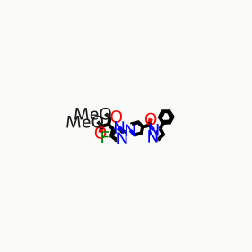 COC(=O)C(C(=O)OC)c1nc(N2CCC(C(=O)N3N=CCC3c3ccccc3)CC2)ncc1F